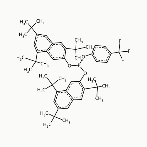 CC(C)(C)c1cc(C(C)(C)C)c2cc(OP(Oc3ccc(C(F)(F)F)cc3)Oc3cc4c(C(C)(C)C)cc(C(C)(C)C)cc4cc3C(C)(C)C)c(C(C)(C)C)cc2c1